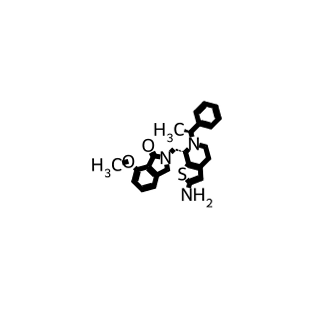 COc1cccc2c1C(=O)N(C[C@H]1c3sc(N)cc3CCN1[C@@H](C)c1ccccc1)C2